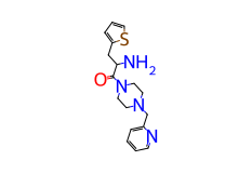 NC(Cc1cccs1)C(=O)N1CCN(Cc2ccccn2)CC1